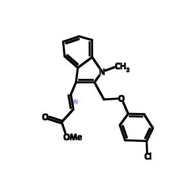 COC(=O)/C=C/c1c(COc2ccc(Cl)cc2)n(C)c2ccccc12